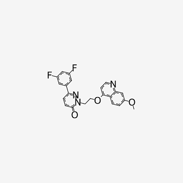 COc1ccc2c(OCCn3nc(-c4cc(F)cc(F)c4)ccc3=O)ccnc2c1